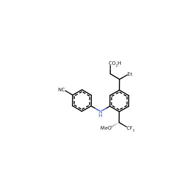 CCC(CC(=O)O)c1ccc([C@@H](OC)C(F)(F)F)c(Nc2ccc(C#N)cc2)c1